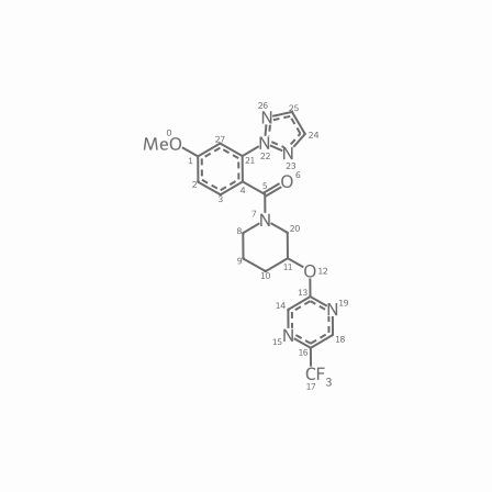 COc1ccc(C(=O)N2CCCC(Oc3cnc(C(F)(F)F)cn3)C2)c(-n2nccn2)c1